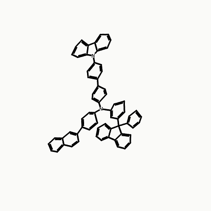 c1ccc(C2(c3cccc(N(c4ccc(-c5ccc(-n6c7ccccc7c7ccccc76)cc5)cc4)c4ccc(-c5ccc6ccccc6c5)cc4)c3)c3ccccc3-c3ccccc32)cc1